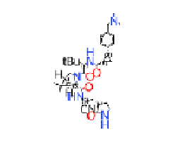 CN(C)Cc1ccc([C@@H]2C[C@H]2C(=O)N[C@H](C(=O)N2C[C@H]3[C@@H]([C@H]2C(=O)N[C@H](C#N)C[C@@H]2CCNC2=O)C3(C)C)C(C)(C)C)cc1